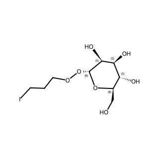 OC[C@H]1O[C@H](OOCCCI)[C@@H](O)[C@@H](O)[C@@H]1O